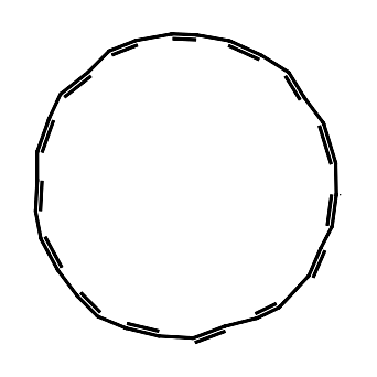 [c]1ccccccccccccccccccccccccccccc1